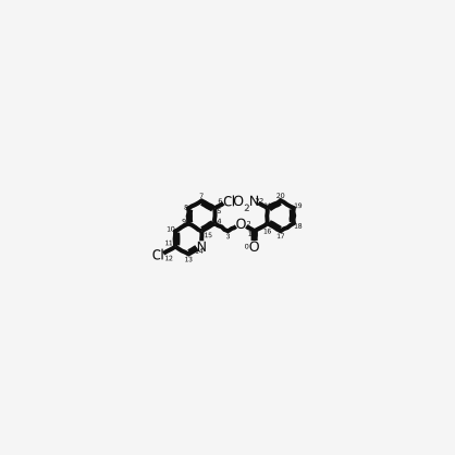 O=C(OCc1c(Cl)ccc2cc(Cl)cnc12)c1ccccc1[N+](=O)[O-]